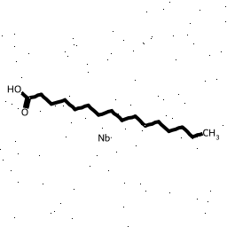 CCCCCCCCCCCCCCCC(=O)O.[Nb]